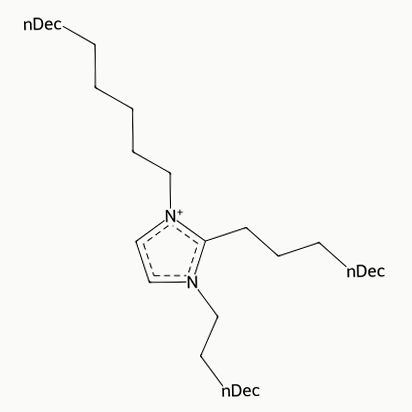 CCCCCCCCCCCCCCC[n+]1ccn(CCCCCCCCCCCC)c1CCCCCCCCCCCCC